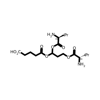 CC(C)[C@H](N)C(=O)OCCC(OC(=O)CCCC(=O)O)OC(=O)[C@@H](N)C(C)C